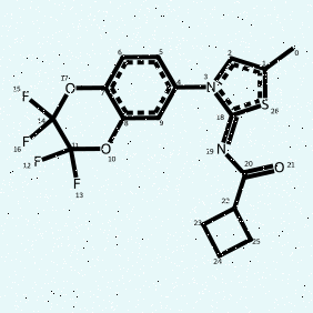 Cc1cn(-c2ccc3c(c2)OC(F)(F)C(F)(F)O3)/c(=N/C(=O)C2CCC2)s1